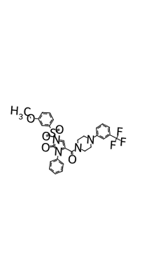 COc1cccc(S(=O)(=O)n2cc(C(=O)N3CCN(c4cccc(C(F)(F)F)c4)CC3)n(-c3ccccc3)c2=O)c1